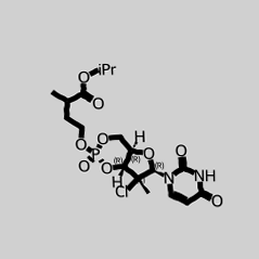 CC(C)OC(=O)C(C)CCOP1(=O)OC[C@H]2O[C@@H](n3ccc(=O)[nH]c3=O)[C@](C)(Cl)[C@@H]2O1